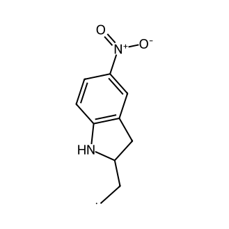 [CH2]CC1Cc2cc([N+](=O)[O-])ccc2N1